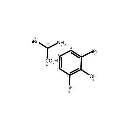 CC(C)c1cccc(C(C)C)c1O.CCC(C)C(N)C(=O)O